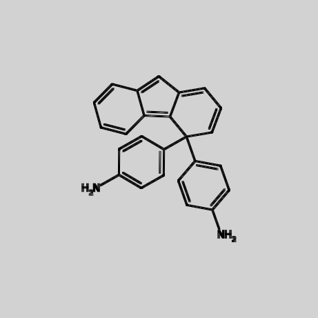 Nc1ccc(C2(c3ccc(N)cc3)C=CC=C3C=c4ccccc4=C32)cc1